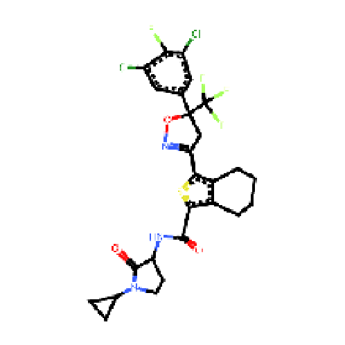 O=C(NC1CCN(C2CC2)C1=O)c1sc(C2=NOC(c3cc(Cl)c(F)c(Cl)c3)(C(F)(F)F)C2)c2c1CCCC2